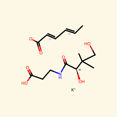 C/C=C/C=C/C(=O)[O-].CC(C)(CO)[C@@H](O)C(=O)NCCC(=O)O.[K+]